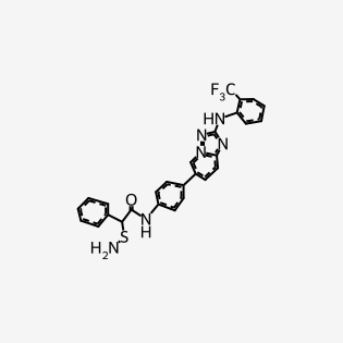 NSC(C(=O)Nc1ccc(-c2ccc3nc(Nc4ccccc4C(F)(F)F)nn3c2)cc1)c1ccccc1